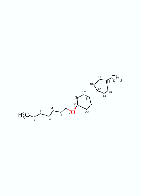 CCCCCCCO[C@H]1CC[C@H](C2CCC(C)CC2)CC1